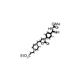 CCOC(=O)CCN1CCN(CC2CN(c3ccc(C(=N)NC(=O)OC)cc3)C(=O)O2)CC1